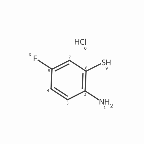 Cl.Nc1ccc(F)cc1S